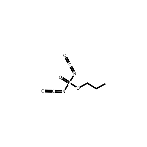 CCCOP(=O)(N=C=O)N=C=O